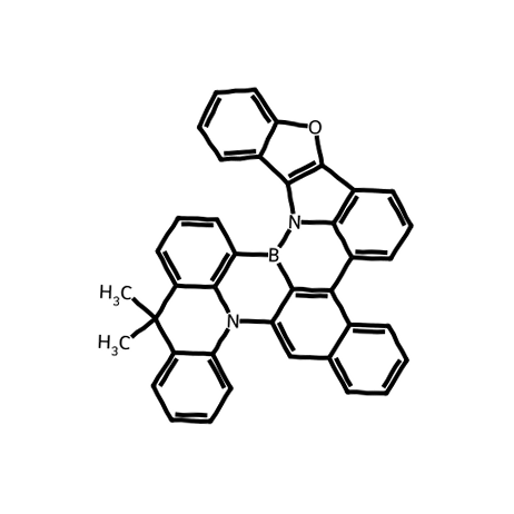 CC1(C)c2ccccc2N2c3cc4ccccc4c4c3B(c3cccc1c32)n1c2c-4cccc2c2oc3ccccc3c21